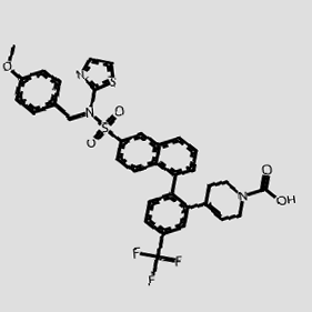 COc1ccc(CN(c2nccs2)S(=O)(=O)c2ccc3c(-c4ccc(C(F)(F)F)cc4C4=CCN(C(=O)O)CC4)cccc3c2)cc1